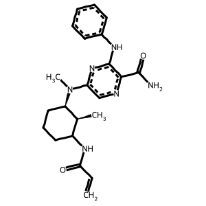 C=CC(=O)NC1CCC[C@@H](N(C)c2cnc(C(N)=O)c(Nc3ccccc3)n2)[C@H]1C